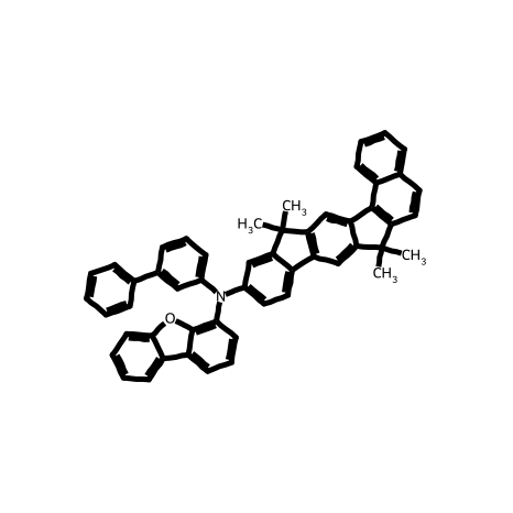 CC1(C)c2cc(N(c3cccc(-c4ccccc4)c3)c3cccc4c3oc3ccccc34)ccc2-c2cc3c(cc21)-c1c(ccc2ccccc12)C3(C)C